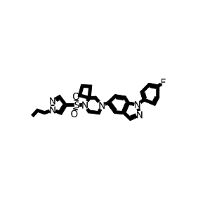 CCCn1cc(S(=O)(=O)N2CCN(c3ccc4c(cnn4-c4ccc(F)cc4)c3)CC23CCC3)cn1